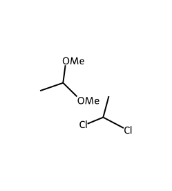 CC(Cl)Cl.COC(C)OC